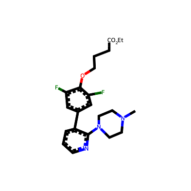 CCOC(=O)CCCOc1c(F)cc(-c2cccnc2N2CCN(C)CC2)cc1F